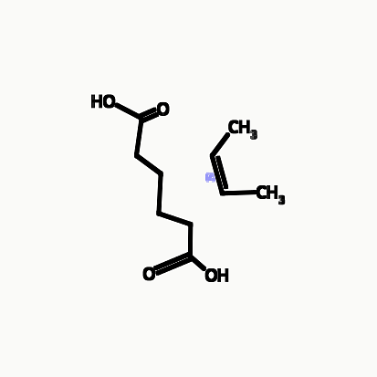 C/C=C\C.O=C(O)CCCCC(=O)O